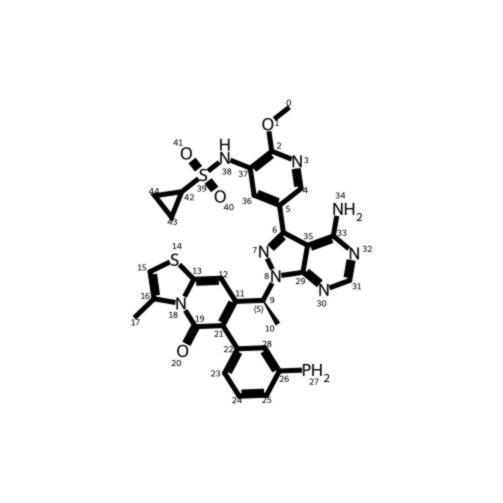 COc1ncc(-c2nn([C@@H](C)c3cc4scc(C)n4c(=O)c3-c3cccc(P)c3)c3ncnc(N)c23)cc1NS(=O)(=O)C1CC1